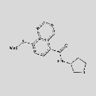 CSSc1ccc(C(=O)NC2CCOC2)c2cccnc12